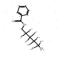 O=C(OCC(F)(F)C(F)(F)C(F)(F)C(F)(F)C(F)(F)F)c1ccccc1